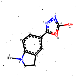 CC(C)N1CCc2cc(-c3nnc(O)o3)ccc21